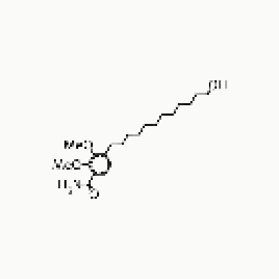 COc1c(CCCCCCCCCCCCO)ccc(C(N)=O)c1OC